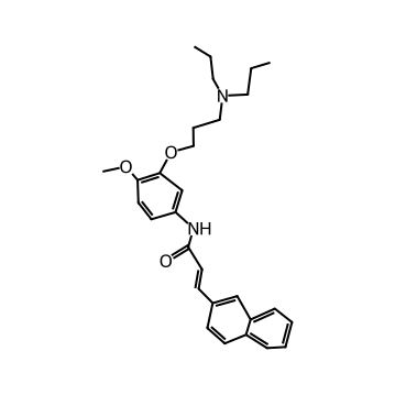 CCCN(CCC)CCCOc1cc(NC(=O)C=Cc2ccc3ccccc3c2)ccc1OC